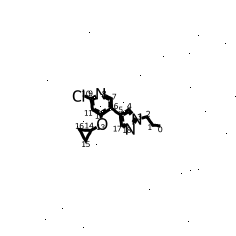 CCCn1cc(-c2cnc(Cl)cc2OC2CC2)cn1